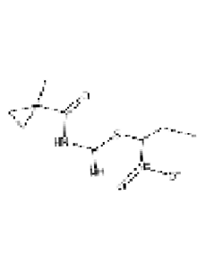 CCC(SC(=N)NC(=O)C1(C)CC1)[N+](=O)[O-]